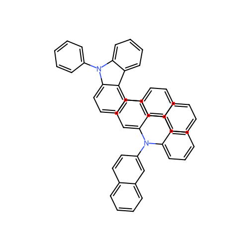 c1ccc(-c2ccccc2N(c2ccc3ccccc3c2)c2ccccc2-c2cccc(-c3cccc4c3c3ccccc3n4-c3ccccc3)c2)cc1